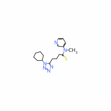 CN(C(=S)CCCc1nnnn1C1CCCCC1)c1cccnc1